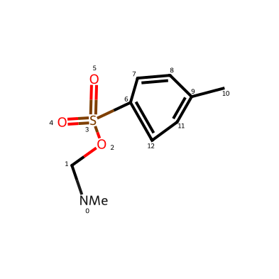 CNCOS(=O)(=O)c1ccc(C)cc1